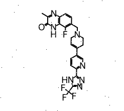 Cc1nc2ccc(CN3CC=C(c4ccc(-c5nnc(C(F)(F)F)[nH]5)nc4)CC3)c(F)c2[nH]c1=O